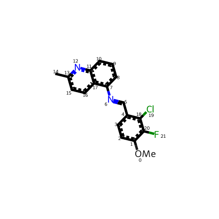 COc1ccc(C=Nc2cccc3nc(C)ccc23)c(Cl)c1F